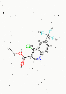 CCOC(=O)c1cnc2ccc(C(F)(F)F)cc2c1Cl